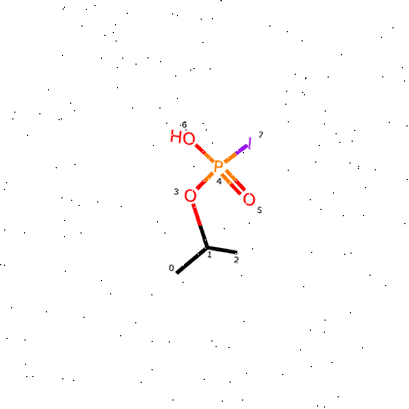 CC(C)OP(=O)(O)I